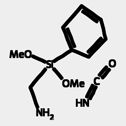 CO[Si](CN)(OC)c1ccccc1.N=C=O